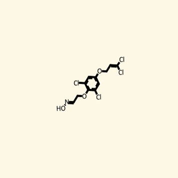 ON=CCOc1c(Cl)cc(OCC=C(Cl)Cl)cc1Cl